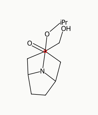 CC(C)OC1CC2CCC(C1)N2C(=O)CO